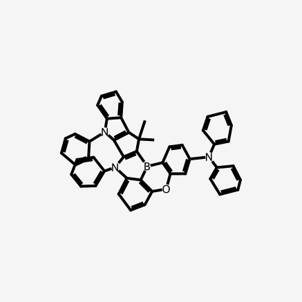 CC1(C)C2=C(c3c1c1ccccc1n3-c1ccccc1)N(c1ccccc1)c1cccc3c1B2c1ccc(N(c2ccccc2)c2ccccc2)cc1O3